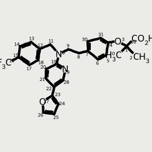 CC(C)(Oc1ccc(CCN(Cc2ccc(C(F)(F)F)cc2)c2ccc(-c3ccco3)cn2)cc1)C(=O)O